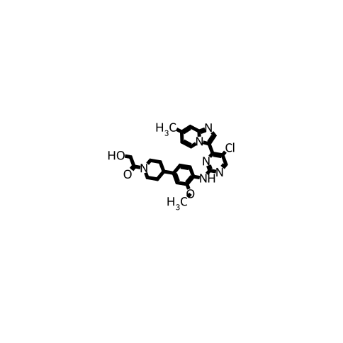 COc1cc(C2CCN(C(=O)CO)CC2)ccc1Nc1ncc(Cl)c(-c2cnc3cc(C)ccn23)n1